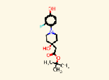 CC(C)(C)OC(=O)CC1(O)CCN(c2ccc(O)cc2F)CC1